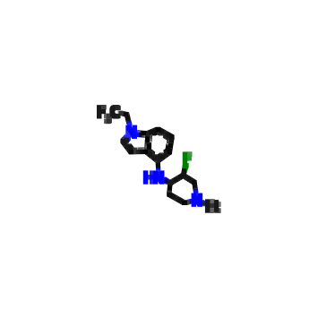 CCN1CC[C@@H](Nc2cccc3c2ccn3CC(F)(F)F)[C@@H](F)C1